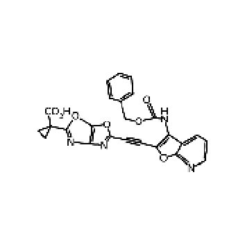 O=C(Nc1c(C#Cc2nc3nc(C4(C(=O)O)CC4)oc3o2)oc2ncccc12)OCc1ccccc1